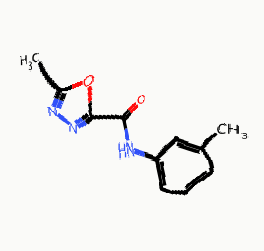 Cc1cccc(NC(=O)c2nnc(C)o2)c1